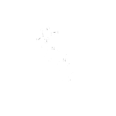 c1ccc(CN2CCc3nc(CN4C[C@@H]5C[C@H]4CO5)ccc3C2)cc1